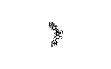 Cc1cc(-c2ccc(F)nc2)cc2c1C(=O)N(Cc1ccc(OC(F)(F)F)cc1)C2